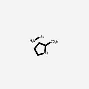 CC(C)(C)N.O=C(O)C1CCCN1